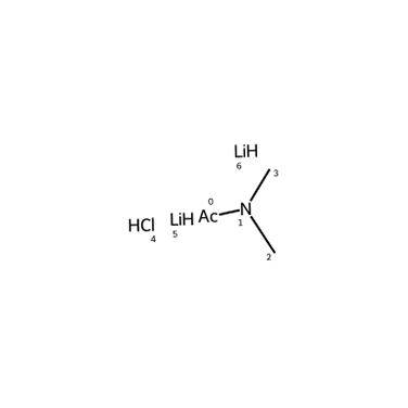 CC(=O)N(C)C.Cl.[LiH].[LiH]